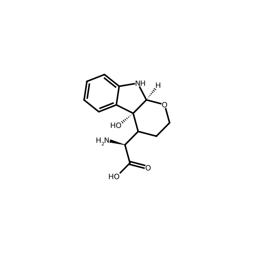 N[C@H](C(=O)O)C1CCO[C@@H]2Nc3ccccc3[C@]12O